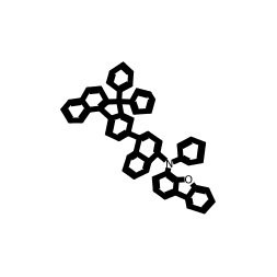 c1ccc(N(c2ccc(-c3ccc4c(c3)C(c3ccccc3)(c3ccccc3)c3ccc5ccccc5c3-4)c3ccccc23)c2cccc3c2oc2ccccc23)cc1